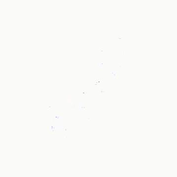 Cc1cc(-c2ncc3cc(C(F)(F)F)ccc3n2)ccc1N(C)C(=O)c1cc(C(=O)O)nn1C